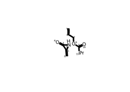 C=C1NC1=O.C=CCOC(=O)C(C)C